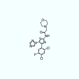 O=C(CN1CCOCC1)Nc1nc(-c2cc(F)c(Cl)cc2Cl)c(-n2cncn2)s1